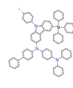 Fc1ccc(-n2c3ccc(N(c4ccc(-c5ccccc5)cc4)c4ccc(N(c5ccccc5)c5ccccc5)cc4)cc3c3cc([Si](c4ccccc4)(c4ccccc4)c4ccccc4)ccc32)cc1